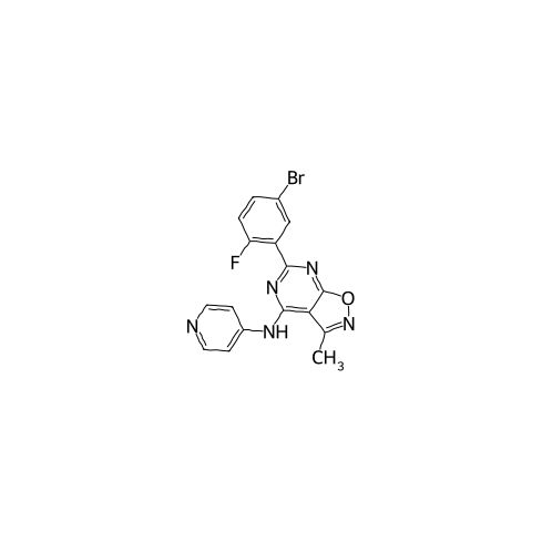 Cc1noc2nc(-c3cc(Br)ccc3F)nc(Nc3ccncc3)c12